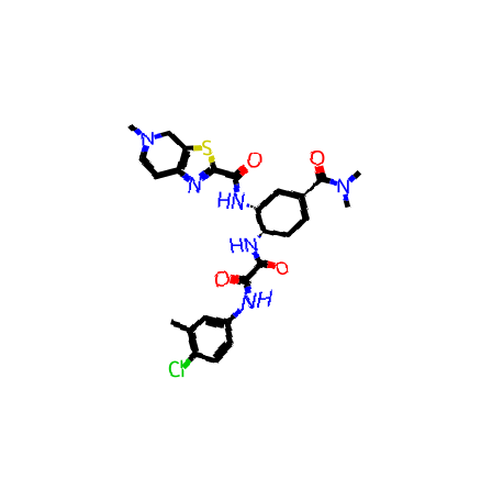 Cc1cc(NC(=O)C(=O)N[C@H]2CC[C@H](C(=O)N(C)C)C[C@H]2NC(=O)c2nc3c(s2)CN(C)CC3)ccc1Cl